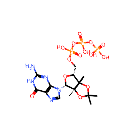 CC1(C)OC2(C)[C@@H](COP(=O)(O)OP(=O)(O)OP(=O)(O)O)O[C@@H](n3cnc4c(=O)[nH]c(N)nc43)[C@]2(C)O1